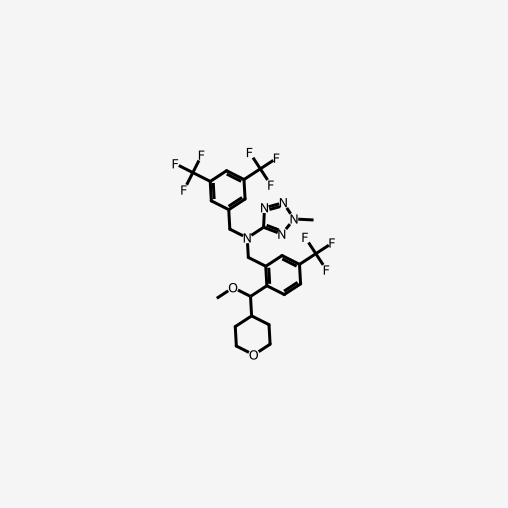 COC(c1ccc(C(F)(F)F)cc1CN(Cc1cc(C(F)(F)F)cc(C(F)(F)F)c1)c1nnn(C)n1)C1CCOCC1